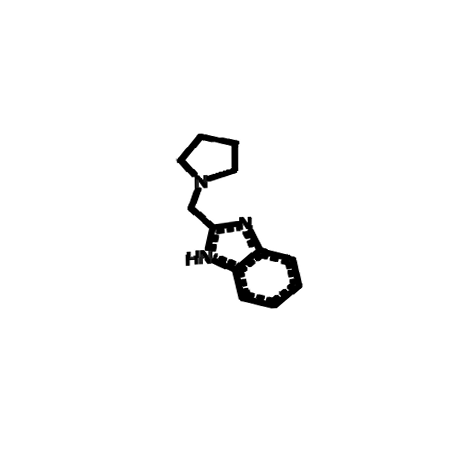 c1ccc2[nH]c(CN3CCCC3)nc2c1